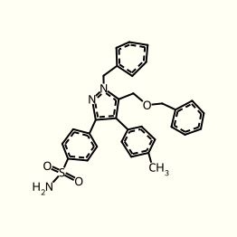 Cc1ccc(-c2c(-c3ccc(S(N)(=O)=O)cc3)nn(Cc3ccccc3)c2COCc2ccccc2)cc1